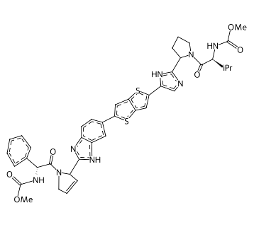 COC(=O)N[C@H](C(=O)N1CCCC1c1ncc(-c2cc3sc(-c4ccc5nc(C6C=CCN6C(=O)[C@H](NC(=O)OC)c6ccccc6)[nH]c5c4)cc3s2)[nH]1)C(C)C